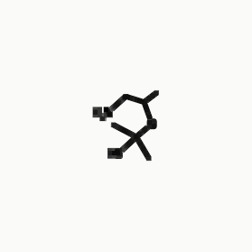 CC(CN)OC(C)(C)S